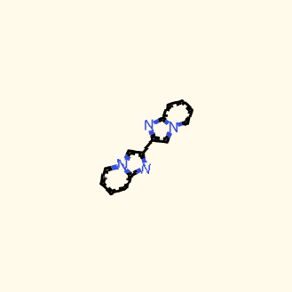 c1ccn2cc(-c3cn4ccccc4n3)nc2c1